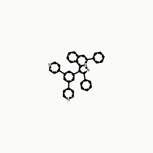 c1ccc(-c2nn3c(-c4ccccc4)cc4ccccc4c3c2-c2cc(-c3ccncc3)cc(-c3ccncc3)c2)cc1